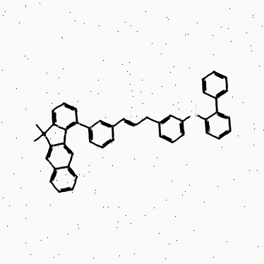 CC1(C)c2cc3ccccc3cc2-c2c(-c3cccc(/C=C/Cc4cccc(Nc5ccccc5-c5ccccc5)c4)c3)cccc21